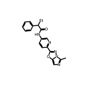 CCC(C(=O)Nc1ccc(-c2nn3c(C)ncc3o2)nc1)c1ccccc1